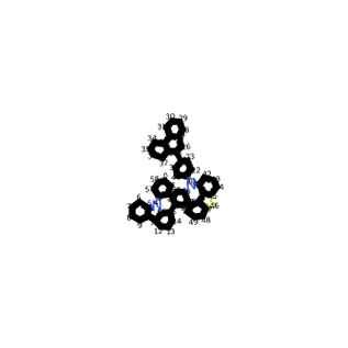 c1ccc(-n2c3ccccc3c3cccc(-c4ccc(N(c5ccc(-c6cc7ccccc7c7ccccc67)cc5)c5cccc6sc7ccccc7c56)cc4)c32)cc1